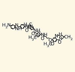 C=C1C[C@H]2C=Nc3cc(OCCCC(=O)Nc4cn(C)c(C(=O)Nc5cc(C(=O)Nc6ccc(-c7nc8cc(N)ccc8[nH]7)cc6)n(C)c5)n4)c(OC)cc3C(=O)N2C1